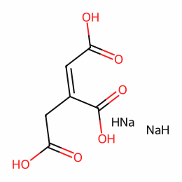 O=C(O)C=C(CC(=O)O)C(=O)O.[NaH].[NaH]